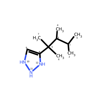 CC(C)C(C)C(C)(C)C1=CNNN1